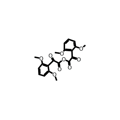 COc1cccc(OC)c1C(=O)C(=O)OC(=O)C(=O)c1c(OC)cccc1OC